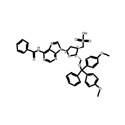 COc1ccc(C(OC[C@@H]2O[C@@H](n3cnc4c(NC(=O)c5ccccc5)ncnc43)C[C@H]2CS(=O)(=O)O)(c2ccccc2)c2ccc(OC)cc2)cc1